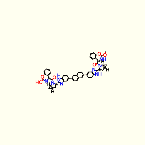 COC(=O)N[C@H](C(=O)N1[C@@H]2C[C@@H]2C[C@H]1c1nc2cc(-c3ccc4cc(-c5ccc6[nH]c([C@@H]7C[C@H]8C[C@H]8N7C(=O)[C@@H](c7ccccc7)N(C)C(=O)O)nc6c5)ccc4c3)ccc2[nH]1)c1ccccc1